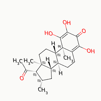 CC(=O)[C@H]1[C@@H](C)C[C@H]2[C@@H]3CCC4=C(O)C(=O)C(O)=C(O)[C@]4(C)[C@H]3CC[C@@]21C